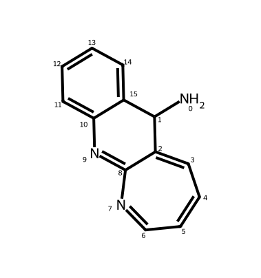 NC1C2=CC=CC=NC2=Nc2ccccc21